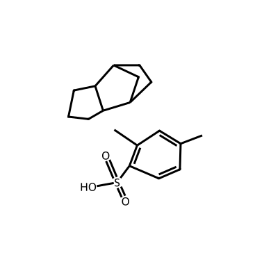 C1CC2C3CCC(C3)C2C1.Cc1ccc(S(=O)(=O)O)c(C)c1